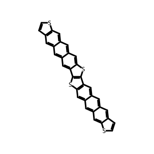 c1cc2cc3cc4cc5c(cc4cc3cc2s1)sc1c2cc3cc4cc6ccsc6cc4cc3cc2sc51